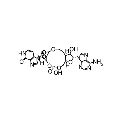 Nc1ncnc2c1ncn2[C@@H]1O[C@@H]2COP(=O)(O)O[C@@H]3[C@H](O)C(OCC[C@H]2[C@H]1O)O[C@H]3n1cnc2c(=O)[nH]ccc21